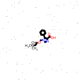 C[Si](C)(C)CCOCn1cnc(C(=O)O)c1-c1ccccc1